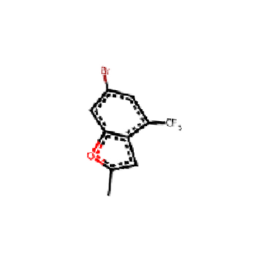 Cc1cc2c(C(F)(F)F)cc(Br)cc2o1